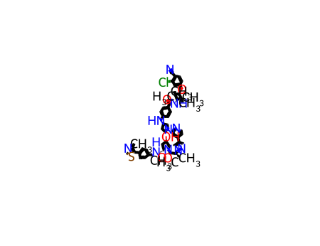 Cc1ncsc1-c1ccc([C@H](C)NC(=O)[C@@H]2C[C@@H](O)CN2C(=O)[C@H](C(C)C)n2cc(-c3ccnc(N4CC[C@@H](Nc5ccc(C(=O)N[C@H]6C(C)(C)[C@H](Oc7ccc(C#N)c(Cl)c7)C6(C)C)cc5)C4)c3)cn2)cc1